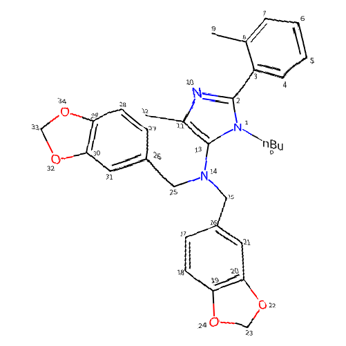 CCCCn1c(-c2ccccc2C)nc(C)c1N(Cc1ccc2c(c1)OCO2)Cc1ccc2c(c1)OCO2